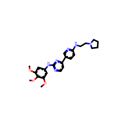 COc1cc(Nc2nccc(-c3ccc(NCCN4CCCC4)nc3)n2)cc(OC)c1OC